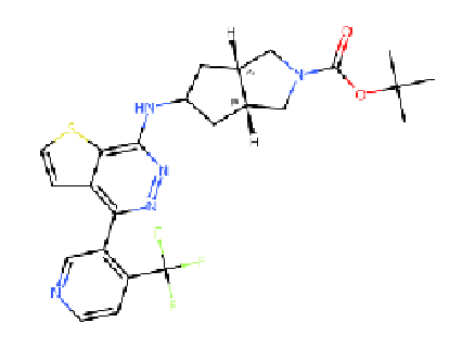 CC(C)(C)OC(=O)N1C[C@H]2CC(Nc3nnc(-c4cnccc4C(F)(F)F)c4ccsc34)C[C@H]2C1